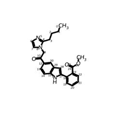 CCCCc1nccn1CC(=O)c1ccc2[nH]c(-c3ccccc3C(=O)OC)cc2c1